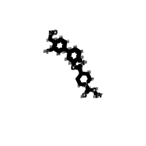 CC(C)OC(=O)N1CCC(c2nc3ccc(-c4ccc(CN=O)c(F)c4)cc3o2)CC1